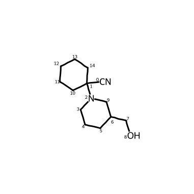 N#CC1(N2CCCC(CO)C2)CCCCC1